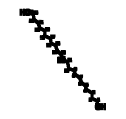 OCCCCCCCCCCC[Se]CCCCCCCCCCCO